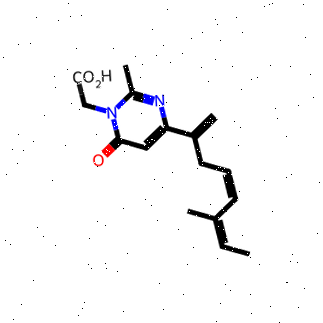 C=C(C/C=C\C(C)=C/C)c1cc(=O)n(CC(=O)O)c(C)n1